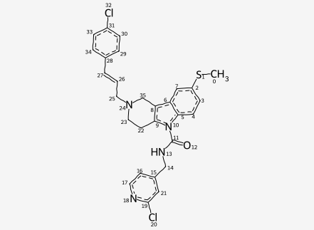 CSc1ccc2c(c1)c1c(n2C(=O)NCc2ccnc(Cl)c2)CCN(CC=Cc2ccc(Cl)cc2)C1